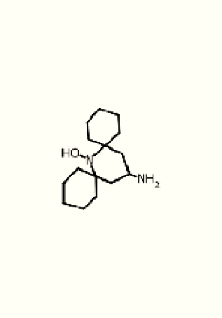 NC1CC2(CCCCC2)N(O)C2(CCCCC2)C1